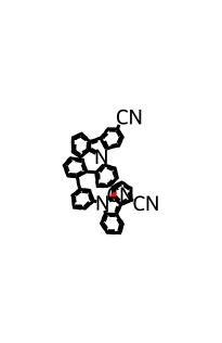 N#Cc1ccc(-n2c3ccccc3c3cc(C#N)ccc32)c(-c2ccccc2-c2cccc(-n3c4ccccc4c4c(C#N)cccc43)c2)c1